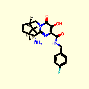 CC1(C)[C@@H]2CC[C@@]1(C)[C@@H](N)c1nc(C(=O)NCc3ccc(F)cc3)c(O)c(=O)n1C2